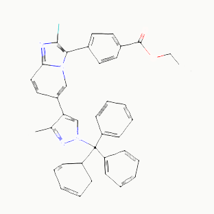 CCOC(=O)c1ccc(-c2c(F)nc3ccc(-c4cn(C(c5ccccc5)(c5ccccc5)C5C=CC=CC5)nc4C)cn23)cc1